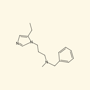 CCc1cncn1CCCN(C)Cc1ccccc1